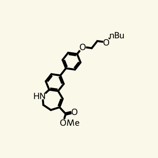 CCCCOCCOc1ccc(-c2ccc3c(c2)C=C(C(=O)OC)CCN3)cc1